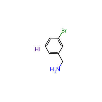 I.NCc1cccc(Br)c1